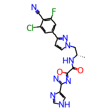 C[C@@H](Cn1ccc(-c2cc(F)c(C#N)c(Cl)c2)n1)NC(=O)c1nc(-c2c[nH]cn2)no1